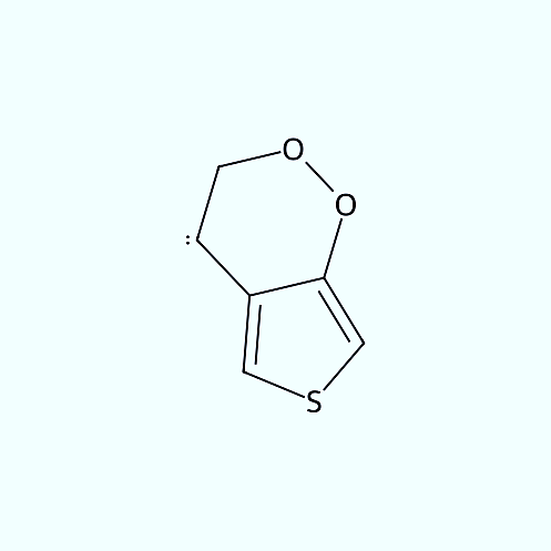 [C]1COOc2cscc21